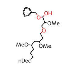 CCCCCCCCCCCCCC(CC(CCOCC(OC)C(O)OCc1ccccc1)OC)OC